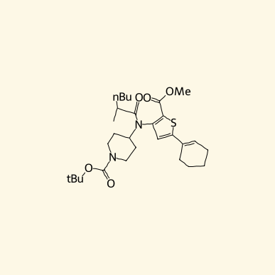 CCCCC(C)C(=O)N(c1cc(C2=CCCCC2)sc1C(=O)OC)C1CCN(C(=O)OC(C)(C)C)CC1